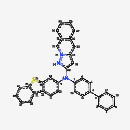 c1ccc(-c2ccc(N(c3ccc4c(c3)sc3ccccc34)c3cc4cc5ccccc5cn4n3)cc2)cc1